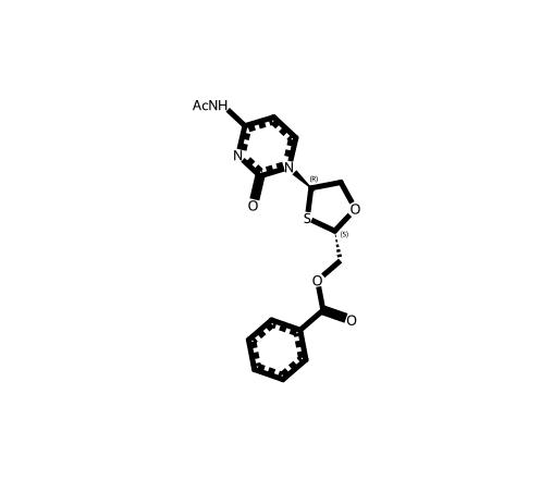 CC(=O)Nc1ccn([C@H]2CO[C@H](COC(=O)c3ccccc3)S2)c(=O)n1